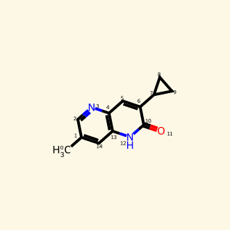 Cc1cnc2cc(C3CC3)c(=O)[nH]c2c1